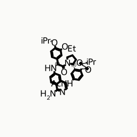 CCOc1cc([C@@H](Nc2ccc3c(N)nccc3c2)C(=O)N2CCC[C@@H]2c2cc(NC(C)=O)ccc2S(=O)(=O)C(C)C)ccc1OC(C)C